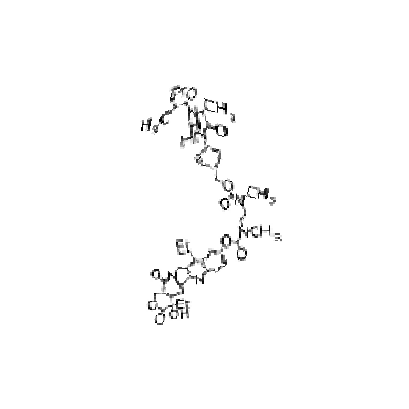 CCc1c2c(nc3ccc(OC(=O)N(C)CCN(C)C(=O)OCc4ccc(NC(=O)[C@H](C)NC(=O)C(C)C(C)C)cc4)cc13)-c1cc3c(c(=O)n1C2)COC(=O)[C@]3(O)CC